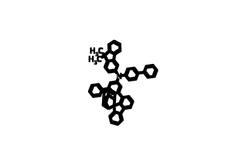 CC1(C)c2ccccc2-c2cc(N(c3ccc(-c4ccccc4)cc3)c3cc(-c4ccccc4)cc(-c4cccc5c4C4(c6ccccc6-5)C5CC6CC(C5)CC4C6)c3)ccc21